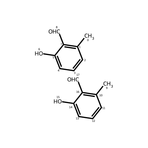 Cc1cccc(O)c1C=O.Cc1cccc(O)c1C=O